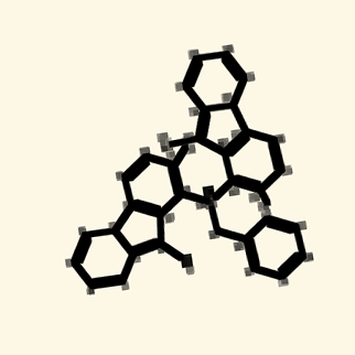 [Li][C]1=C2C=CC=CC2c2ccc(C)c([SiH](Cc3ccccc3)c3c(C)ccc4c3[C]([Li])=C3C=CC=CC34)c21